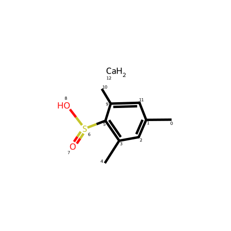 Cc1cc(C)c(S(=O)O)c(C)c1.[CaH2]